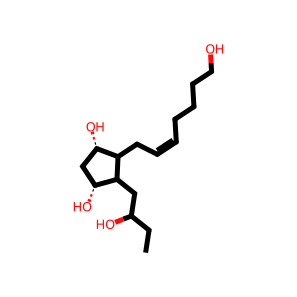 CCC(O)CC1C(C/C=C\CCCCO)[C@@H](O)C[C@H]1O